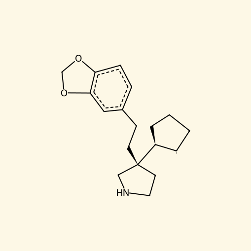 [CH]1CCC[C@@H]1[C@]1(CCc2ccc3c(c2)OCO3)CCNC1